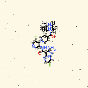 [2H]C1([2H])NC([2H])([2H])C([2H])([2H])N(C(=O)C2CCN(c3c(F)cncc3NC(=O)c3c(N)nn4cc(F)cnc34)CC2)C1([2H])[2H]